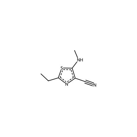 CCc1nc(C#N)c(NC)s1